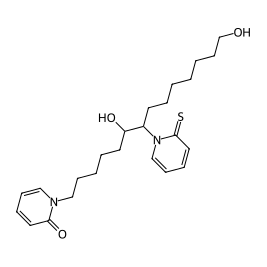 O=c1ccccn1CCCCCC(O)C(CCCCCCCO)n1ccccc1=S